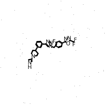 Fc1cc(-c2nnc(C(F)F)o2)ccc1Cn1cc(-c2cccc(C3CCN(C4CNC4)CC3)c2)nn1